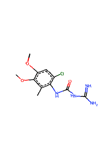 COc1cc(Cl)c(NC(=O)NC(=N)N)c(C)c1OC